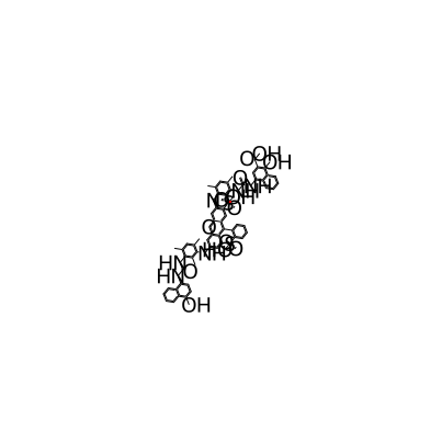 Cc1cc(C)c(NC(=O)Nc2cc(C(=O)O)c(O)c3ccccc23)c(C)c1/N=c1/cc2oc3cc(Nc4c(C)cc(C)c(NC(=O)Nc5ccc(O)c6ccccc56)c4C)ccc3c(-c3ccccc3S(=O)(=O)O)c-2cc1S(=O)(=O)O